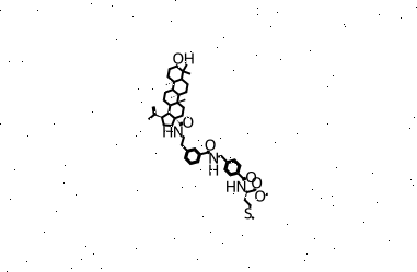 C=C(C)[C@@H]1CC[C@]2(C(=O)NCCc3cccc(C(=O)NCc4ccc(C(=O)N[C@H](CCSC)C(=O)OC)cc4)c3)CC[C@]3(C)C(CCC4[C@@]5(C)CC[C@H](O)C(C)(C)C5CC[C@]43C)C12